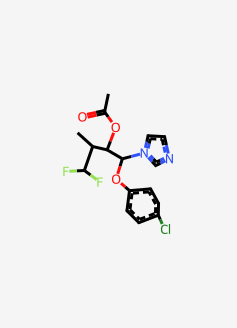 CC(=O)OC(C(C)C(F)F)C(Oc1ccc(Cl)cc1)n1ccnc1